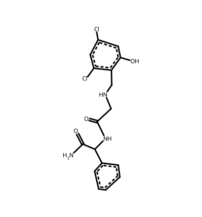 NC(=O)C(NC(=O)CNCc1c(O)cc(Cl)cc1Cl)c1ccccc1